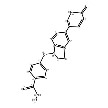 C=C1C=CC(c2ccc3c(c2)CCN3Oc2ccc(C(=N)NO)cc2)=CN1